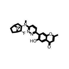 Cc1cc(=O)c2cc(O)c(-c3ccc(N(C)[C@H]4CC5CCC([C@H]4F)N5C)nn3)cc2o1